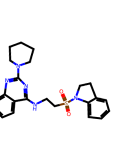 O=S(=O)(CCNc1nc(N2CCCCC2)nc2ccccc12)N1CCc2ccccc21